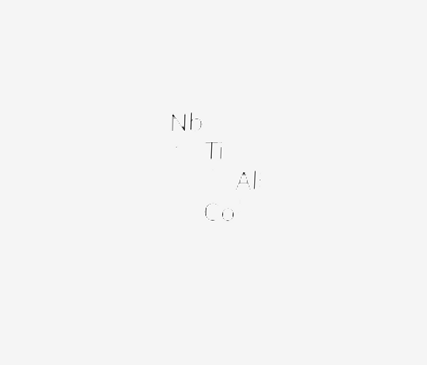 [Al].[Co].[Nb].[Ti]